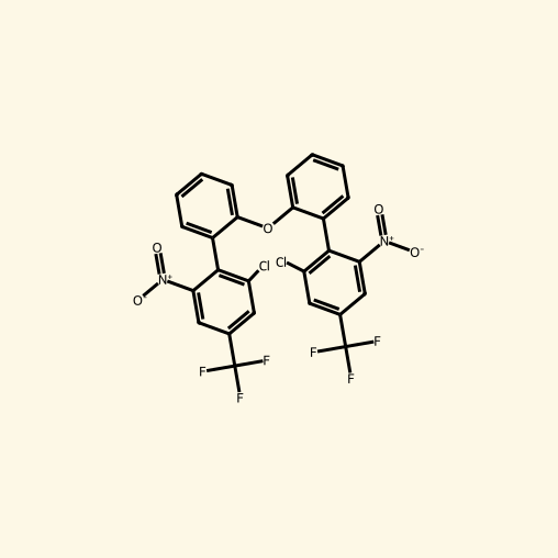 O=[N+]([O-])c1cc(C(F)(F)F)cc(Cl)c1-c1ccccc1Oc1ccccc1-c1c(Cl)cc(C(F)(F)F)cc1[N+](=O)[O-]